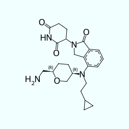 NC[C@H]1CC[C@@H](N(CCC2CC2)c2cccc3c2CN(C2CCC(=O)NC2=O)C3=O)CO1